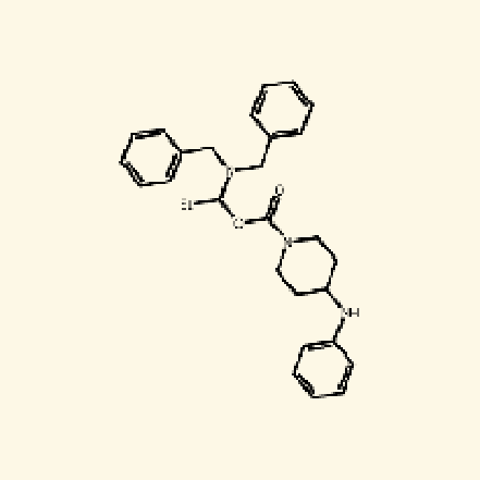 CCC(OC(=O)N1CCC(Nc2ccccc2)CC1)N(Cc1ccccc1)Cc1ccccc1